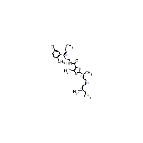 CC/C=C(/CCNC(=O)c1sc(/C(C)=C/N=C\C=C(\C)CC)nc1C)c1cc(Cl)ccc1C